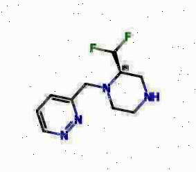 FC(F)[C@H]1CNCCN1Cc1cccnn1